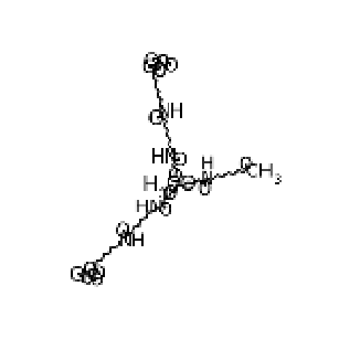 CC(=O)CCCCCCCNC(=O)CCOCC(C)(COCCC(=O)NCCCCCCCC(=O)NCCCCCCCC(=O)ON1C(=O)CCC1=O)COCCC(=O)NCCCCCCCC(=O)NCCCCCCCC(=O)ON1C(=O)CCC1=O